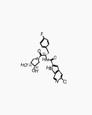 O=C(N[C@@H](Cc1ccc(F)cc1)C(=O)N1C[C@@H](O)[C@H](O)C1)c1cc2cc(Cl)ncc2[nH]1